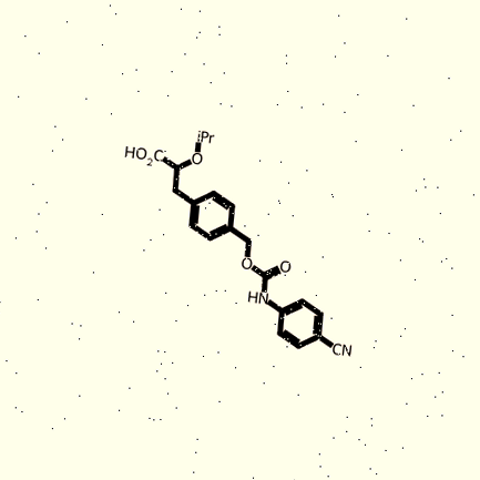 CC(C)OC(Cc1ccc(COC(=O)Nc2ccc(C#N)cc2)cc1)C(=O)O